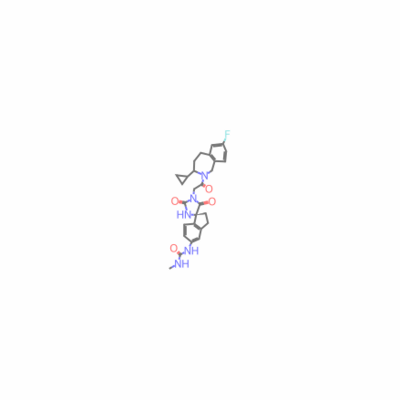 CNC(=O)Nc1ccc2c(c1)CC[C@]21NC(=O)N(CC(=O)N2Cc3ccc(F)cc3CCC2C2CC2)C1=O